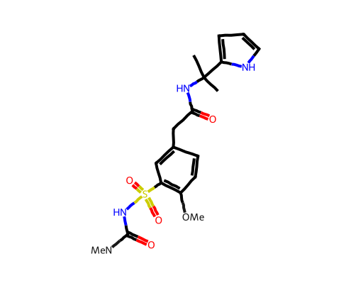 CNC(=O)NS(=O)(=O)c1cc(CC(=O)NC(C)(C)c2ccc[nH]2)ccc1OC